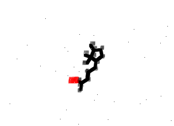 CC(O)C=CCC1CCC(C)C1(C)C